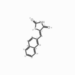 O=C1NC(=O)/C(=C/c2ccc3ccccc3c2)S1